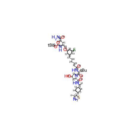 Cc1ncsc1-c1ccc(C(C)NC(=O)[C@@H]2C[C@@H](O)CN2C(=O)C(NC(=O)CCCCCc2cc(F)cc(OCC(CCC(N)=O)NC(=O)OC(C)(C)C)c2)C(C)(C)C)cc1